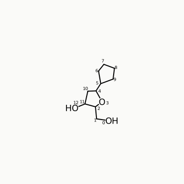 OCC1OC(C2CCCC2)CC1O